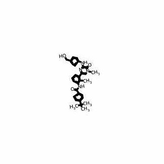 Cc1c(NC(=O)c2ccc(C(C)(C)C)cc2)cccc1-c1cn(C)c(=O)c(Nc2ccc(CO)cc2)n1